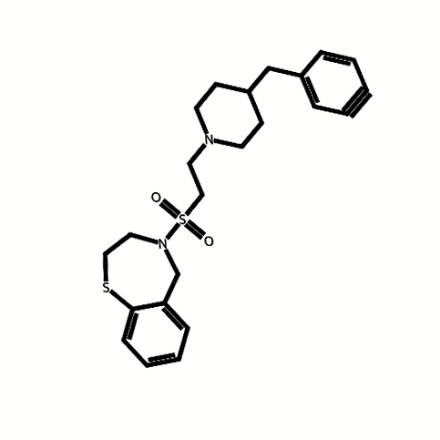 O=S(=O)(CCN1CCC(Cc2cc#ccc2)CC1)N1CCSc2ccccc2C1